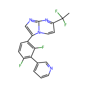 CC(F)(F)c1ccn2c(-c3ccc(F)c(-c4cccnc4)c3F)cnc2n1